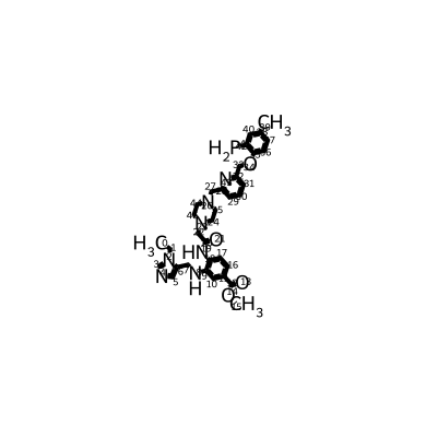 CCn1cncc1CNc1cc(C(=O)OC)ccc1NC(=O)CN1CCN(Cc2cccc(COc3ccc(C)cc3P)n2)CC1